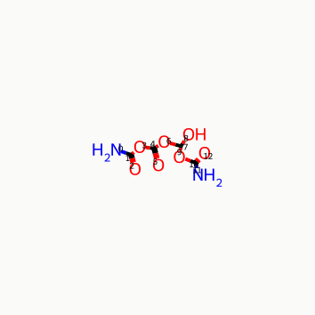 NC(=O)OC(=O)OC(O)OC(N)=O